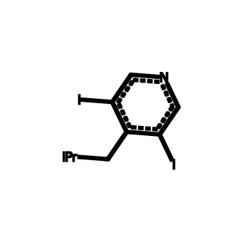 CC(C)Cc1c(I)cncc1I